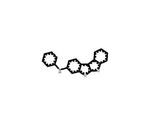 c1ccc(Nc2ccc3c(c2)oc2oc4ccccc4c23)cc1